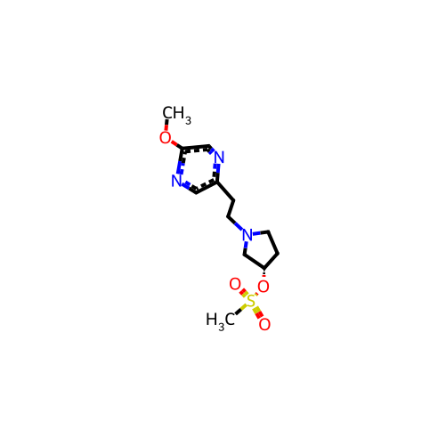 COc1cnc(CCN2CC[C@H](OS(C)(=O)=O)C2)cn1